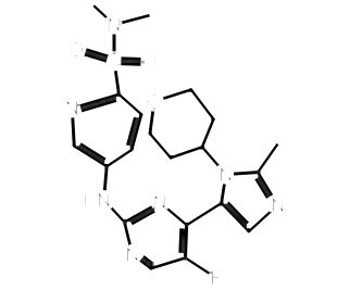 Cc1ncc(-c2nc(Nc3ccc(S(=O)(=O)N(C)C)nc3)ncc2F)n1C1CCOCC1